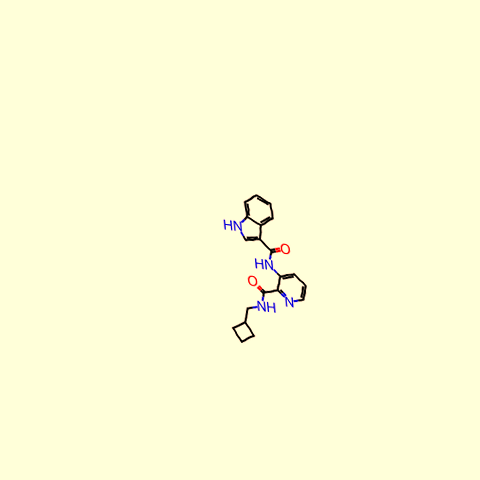 O=C(NCC1CCC1)c1ncccc1NC(=O)c1c[nH]c2ccccc12